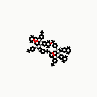 Cc1cc2c3c(c1)N(c1ccc(C(C)(C)C)cc1)c1sc4ccc(C(C)(C)Cc5ccc(-c6cc(C(C)(C)C)ccc6N6c7cc8c(cc7B7c9c6cc(C)cc9N(c6ccc(C(C)(C)C)cc6)c6sc9cc%10c(cc9c67)C(C)(C)CCC%10(C)C)C(C)(C)CCC8(C)C)cc5)cc4c1B3c1cc3c(cc1N2c1ccc(C(C)(C)C)cc1-c1ccc2c(c1)C(C)(C)CCC2(C)C)C(C)(C)CCC3(C)C